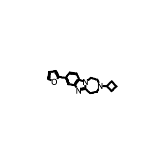 c1coc(-c2ccc3c(c2)nc2n3CCN(C3CCC3)CC2)c1